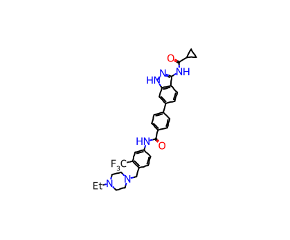 CCN1CCN(Cc2ccc(NC(=O)c3ccc(-c4ccc5c(NC(=O)C6CC6)n[nH]c5c4)cc3)cc2C(F)(F)F)CC1